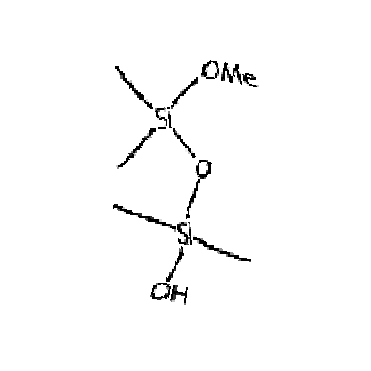 CO[Si](C)(C)O[Si](C)(C)O